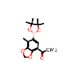 COC(=O)c1cc(B2OC(C)(C)C(C)(C)O2)c(C)c2c1OCO2